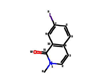 Cn1ccc2ccc(I)cc2c1=O